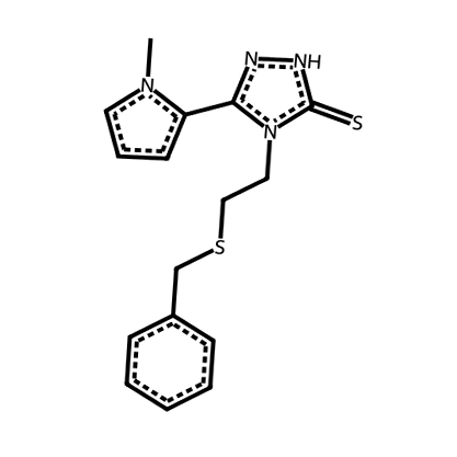 Cn1cccc1-c1n[nH]c(=S)n1CCSCc1ccccc1